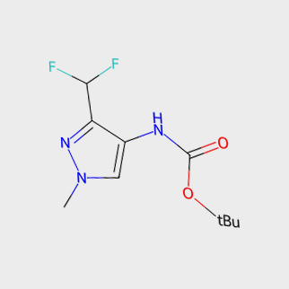 Cn1cc(NC(=O)OC(C)(C)C)c(C(F)F)n1